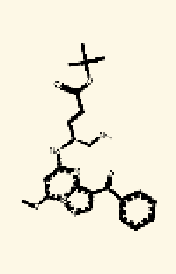 CSc1cc(N[C@H](CN)CCC(=O)OC(C)(C)C)nc2c(C(=O)c3ccccc3)cnn12